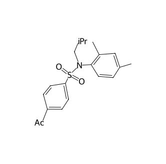 CC(=O)c1ccc(S(=O)(=O)N(CC(C)C)c2ccc(C)cc2C)cc1